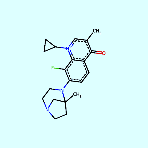 Cc1cn(C2CC2)c2c(F)c(N3CCN4CCC3(C)C4)ccc2c1=O